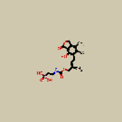 CCc1c(C)c2c(c(O)c1C/C=C(\C)COC(=O)NCCP(=O)(O)O)C(=O)OC2